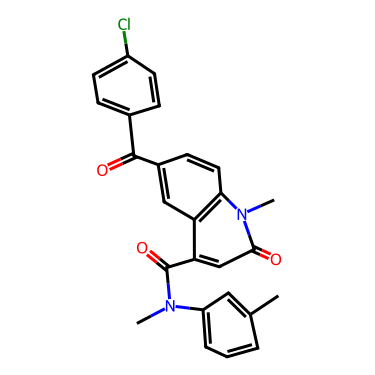 Cc1cccc(N(C)C(=O)c2cc(=O)n(C)c3ccc(C(=O)c4ccc(Cl)cc4)cc23)c1